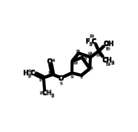 C=C(C)C(=O)OC1CC2CC1CC2C(C)(O)C(F)(F)F